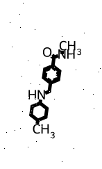 CNC(=O)c1ccc(CNC2CCC(C)CC2)cc1